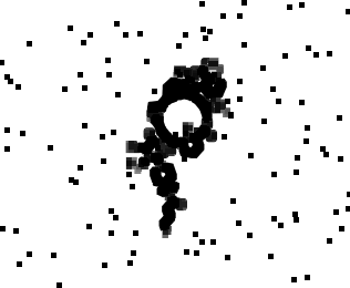 CCn1c(-c2cccnc2[C@H](C)OC)c2c3cc(ccc31)-c1csc(n1)C[C@H](NC(=O)C(C(C)C)N(C)C(=O)N1CCC3(CC1)CN(C(=O)/C=C/CF)C3)C(=O)N1CCC[C@H](N1)C(=O)OCC(C)(C)C2